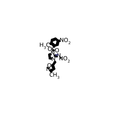 Cc1cc(CN2CCN(S(=O)(=O)c3cc([N+](=O)[O-])ccc3C)/C2=N/[N+](=O)[O-])on1